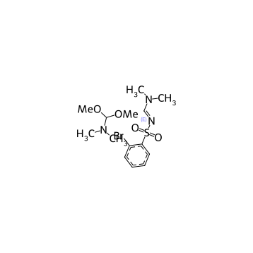 CN(C)/C=N/S(=O)(=O)c1ccccc1Br.COC(OC)N(C)C